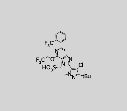 Cn1nc(C(C)(C)C)c(Cl)c1-c1nc2cc(-c3ccccc3C(F)(F)F)nc(OCC(F)(F)F)c2n1CS(=O)(=O)O